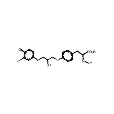 CC(C)OC(Cc1ccc(OCC(O)COc2ccc(Cl)c(Cl)c2)cc1)C(=O)O